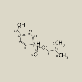 CC(C)CO[PH](=O)c1ccc(CO)cc1